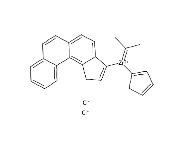 C[C](C)=[Zr+2]([C]1=CC=CC1)[C]1=CCc2c1ccc1ccc3ccccc3c21.[Cl-].[Cl-]